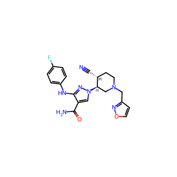 N#C[C@@H]1CCN(Cc2ccon2)C[C@H]1n1cc(C(N)=O)c(Nc2ccc(F)cc2)n1